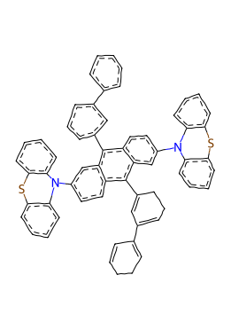 C1=CC(C2=CCCC(c3c4cc(N5c6ccccc6Sc6ccccc65)ccc4c(-c4cccc(-c5ccccc5)c4)c4cc(N5c6ccccc6Sc6ccccc65)ccc34)=C2)=CCC1